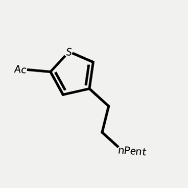 CCCCCCCc1csc(C(C)=O)c1